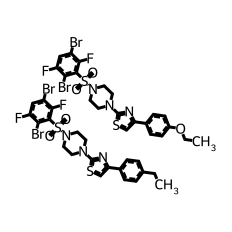 CCOc1ccc(-c2csc(N3CCN(S(=O)(=O)c4c(F)c(Br)cc(F)c4Br)CC3)n2)cc1.CCc1ccc(-c2csc(N3CCN(S(=O)(=O)c4c(F)c(Br)cc(F)c4Br)CC3)n2)cc1